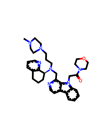 CN1CCN(CCCN(Cc2nccc3c4ccccc4n(CC(=O)N4CCOCC4)c23)[C@H]2CCCc3cccnc32)CC1